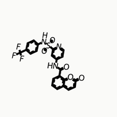 O=C(Nc1ccnc(S(=O)(=O)Nc2ccc(C(F)(F)F)cc2)c1)c1cccc2ccc(=O)oc12